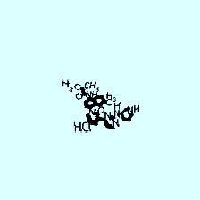 Cc1ccc2c(NC(=O)C(C)C)cccc2c1Oc1ncccc1-c1ccnc(N[C@H]2CCCNC2)n1.Cl